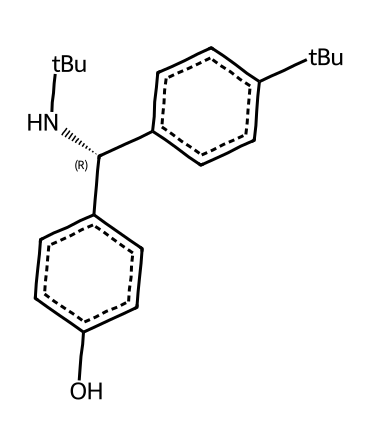 CC(C)(C)N[C@@H](c1ccc(O)cc1)c1ccc(C(C)(C)C)cc1